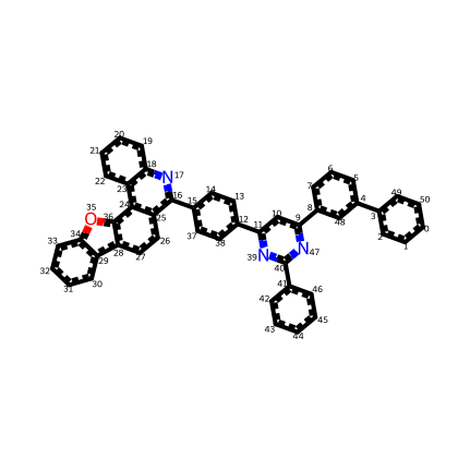 c1ccc(-c2cccc(-c3cc(-c4ccc(-c5nc6ccccc6c6c5ccc5c7ccccc7oc56)cc4)nc(-c4ccccc4)n3)c2)cc1